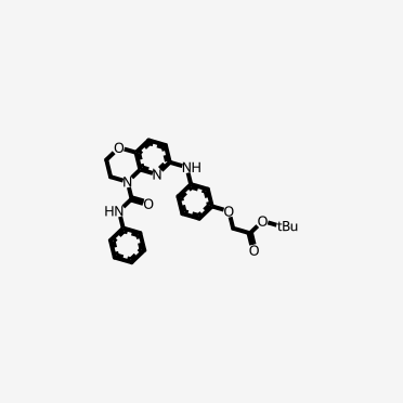 CC(C)(C)OC(=O)COc1cccc(Nc2ccc3c(n2)N(C(=O)Nc2ccccc2)CCO3)c1